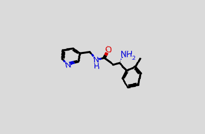 Cc1ccccc1[C@@H](N)CC(=O)NCc1cccnc1